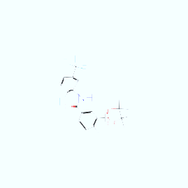 Cc1ccc(C(=O)Nc2cc(C(F)(F)F)ccc2F)cc1B1OC(C)(C)C(C)(C)O1